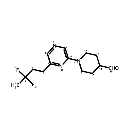 CC(F)(F)CCc1cncc(N2CCC(C=O)CC2)n1